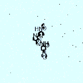 C=CC(=O)Nc1ccnc(-c2nccc3cnc(Nc4ccc(N5CCOCC5)cc4OC)nc23)c1